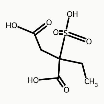 CCC(CC(=O)O)(C(=O)O)S(=O)(=O)O